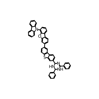 c1ccc(C2=NC(c3ccc4c(c3)sc3ccc(-c5ccc6c(c5)oc5c(-n7c8ccccc8c8ccccc87)cccc56)cc34)NC(c3ccccc3)N2)cc1